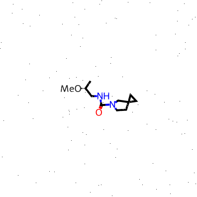 CO[C@H](C)CNC(=O)N1CCC2(CC2)C1